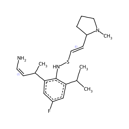 CC(C)c1cc(F)cc(C(C)/C=C\N)c1NS/C=C/C1CCCN1C